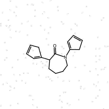 O=C1C(C2=CC=CC2)CCCCN1C1=CC=CC1